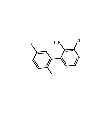 Nc1c(Cl)ncnc1-c1cc(F)ccc1F